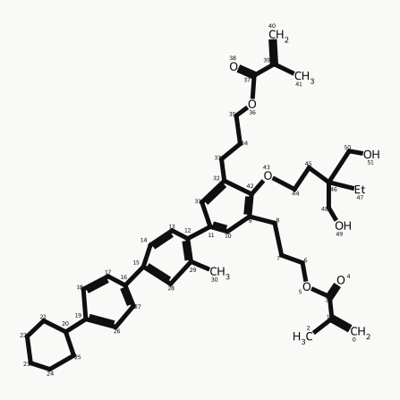 C=C(C)C(=O)OCCCc1cc(-c2ccc(-c3ccc(C4CCCCC4)cc3)cc2C)cc(CCCOC(=O)C(=C)C)c1OCCC(CC)(CO)CO